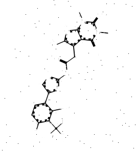 Cn1c(=O)c2c(CC(=O)Nc3nc(-c4ccc(F)c(C(F)(F)F)c4F)cs3)c(Br)oc2n(C)c1=O